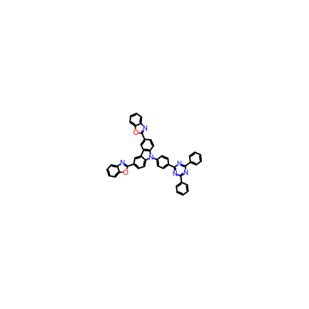 c1ccc(-c2nc(-c3ccccc3)nc(-c3ccc(-n4c5ccc(-c6nc7ccccc7o6)cc5c5cc(-c6nc7ccccc7o6)ccc54)cc3)n2)cc1